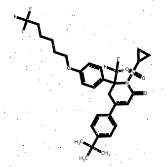 CC(C)(C)c1ccc(C2=CC(=O)N(S(=O)(=O)C3CC3)C(c3ccc(OCCCCCC(F)(F)F)cc3)(C(F)(F)F)C2)cc1